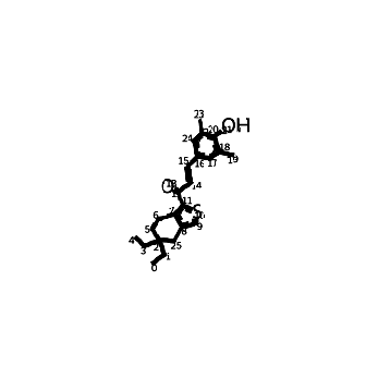 CCC1(CC)CCc2c(csc2C(=O)/C=C/c2cc(C)c(O)c(C)c2)C1